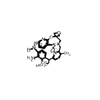 CCN(N)c1ccc(C(CC(=O)O)c2ccc(C)c(CN3CC4(COC4)Oc4ncccc4[S+]3[O-])n2)c(C)c1N